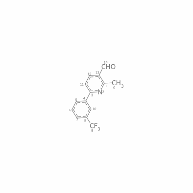 Cc1nc(-c2cccc(C(F)(F)F)c2)ccc1C=O